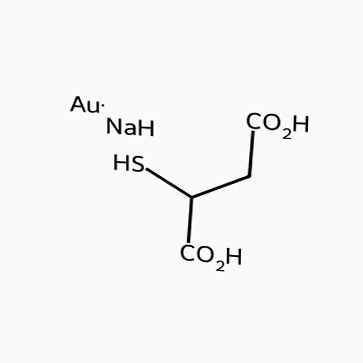 O=C(O)CC(S)C(=O)O.[Au].[NaH]